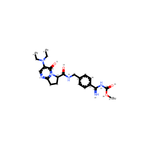 CC(C)CN(CC(C)C)c1cnc2n(c1=O)C(C(=O)NCc1ccc(C(=N)NC(=O)OC(C)(C)C)cc1)CC2